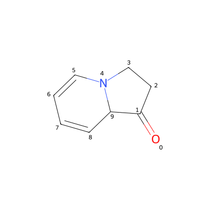 O=C1CCN2C=CC=CC12